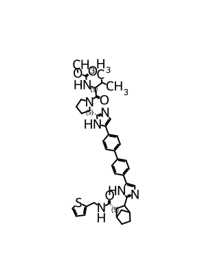 COC(=O)N[C@H](C(=O)N1CCC[C@H]1c1ncc(-c2ccc(-c3ccc(-c4cnc(C5C6CCC(C6)[C@@H]5C(=O)NCc5cccs5)[nH]4)cc3)cc2)[nH]1)C(C)C